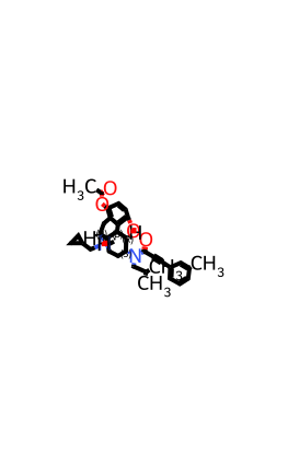 CC(=O)Oc1ccc2c3c1C[C@@H]1[C@@H]4CC[C@H](N(CC(C)C)C(=O)C#Cc5cccc(C)c5)[C@H](O2)[C@]34CCN1CC1CC1